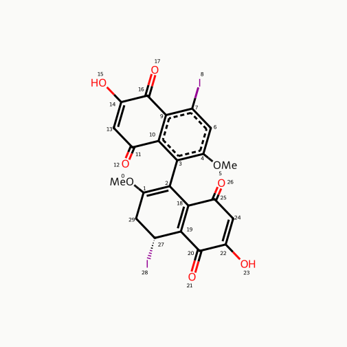 COC1=C(c2c(OC)cc(I)c3c2C(=O)C=C(O)C3=O)C2=C(C(=O)C(O)=CC2=O)[C@H](I)C1